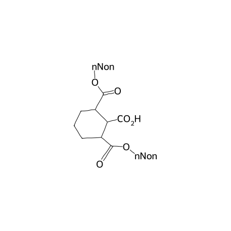 CCCCCCCCCOC(=O)C1CCCC(C(=O)OCCCCCCCCC)C1C(=O)O